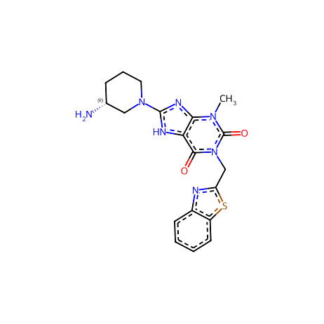 Cn1c(=O)n(Cc2nc3ccccc3s2)c(=O)c2[nH]c(N3CCC[C@@H](N)C3)nc21